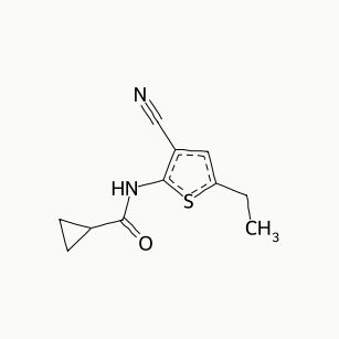 CCc1cc(C#N)c(NC(=O)C2CC2)s1